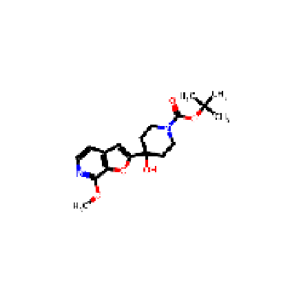 COc1nccc2cc(C3(O)CCN(C(=O)OC(C)(C)C)CC3)oc12